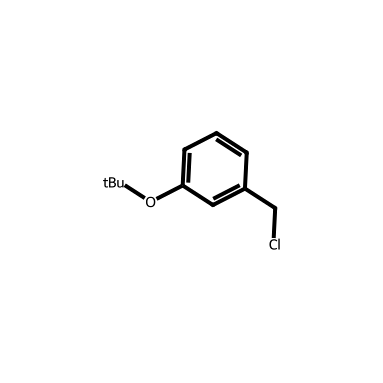 CC(C)(C)Oc1cccc(CCl)c1